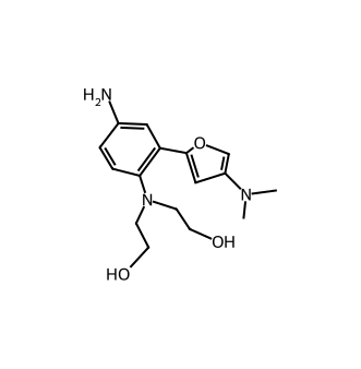 CN(C)c1coc(-c2cc(N)ccc2N(CCO)CCO)c1